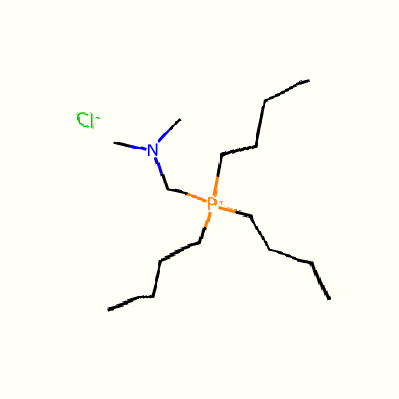 CCCC[P+](CCCC)(CCCC)CN(C)C.[Cl-]